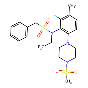 [CH2]c1ccc(N2CCN(S(C)(=O)=O)CC2)c(N(CC(F)(F)F)S(=O)(=O)Cc2ccccc2)c1F